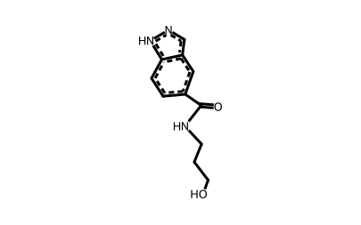 O=C(NCCCO)c1ccc2[nH]ncc2c1